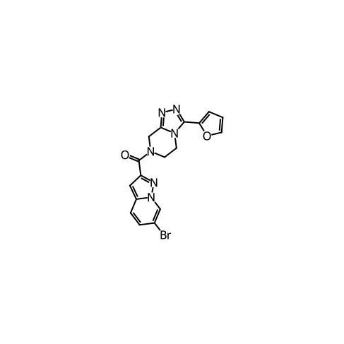 O=C(c1cc2ccc(Br)cn2n1)N1CCn2c(nnc2-c2ccco2)C1